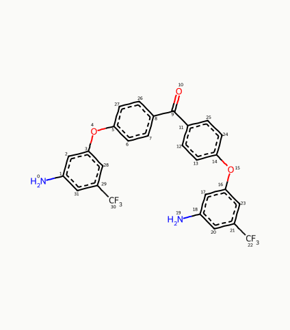 Nc1cc(Oc2ccc(C(=O)c3ccc(Oc4cc(N)cc(C(F)(F)F)c4)cc3)cc2)cc(C(F)(F)F)c1